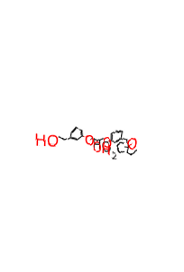 O=C(O)C1(Cc2cccc(OC[C@@H](O)COc3cccc(CCO)c3)c2)CCCO1